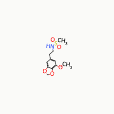 COc1cc(CCNS(C)(=O)=O)cc2c1OCO2